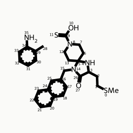 CSCCC1NC2(CCN(C(O)=S)CC2)N(Cc2ccc3ccccc3c2)C1=O.Cc1ccccc1N